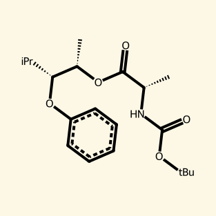 CC(C)[C@@H](Oc1ccccc1)[C@H](C)OC(=O)[C@H](C)NC(=O)OC(C)(C)C